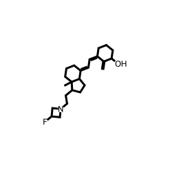 C=C1/C(=C\C=C2/CCCC3(C)C(CCN4CC(F)C4)CCC23)CCCC1O